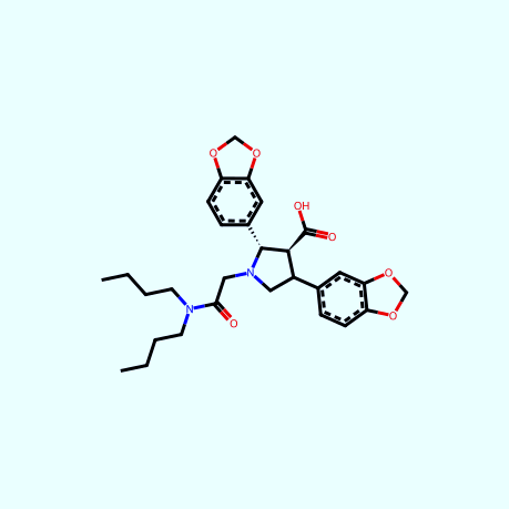 CCCCN(CCCC)C(=O)CN1CC(c2ccc3c(c2)OCO3)[C@H](C(=O)O)[C@H]1c1ccc2c(c1)OCO2